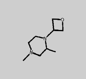 CC1CN(C)CCN1C1COC1